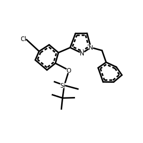 CC(C)(C)[Si](C)(C)Oc1ccc(Cl)cc1-c1ccn(Cc2ccccc2)n1